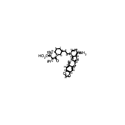 CC(C)[C@@H](C(=O)N1CCCC(CCn2cnc(N)c3nc(Sc4cc5c(cc4Br)OCO5)nc2-3)C1)N(C(=O)O)C(C)(C)C